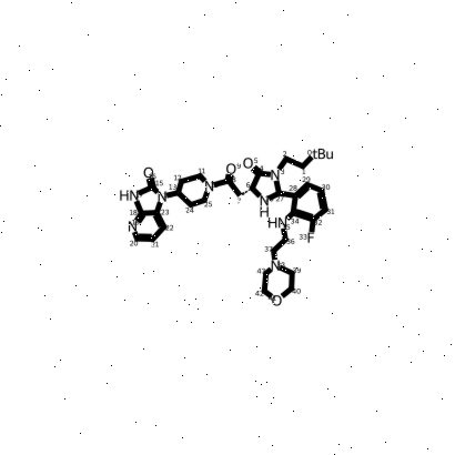 CC(C)(C)CCN1C(=O)[C@@H](CC(=O)N2CCC(n3c(=O)[nH]c4ncccc43)CC2)NC1c1cccc(F)c1NCCN1CCOCC1